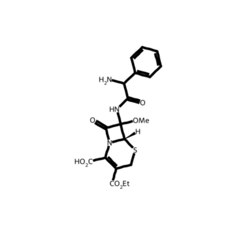 CCOC(=O)C1=C(C(=O)O)N2C(=O)C(NC(=O)C(N)c3ccccc3)(OC)[C@@H]2SC1